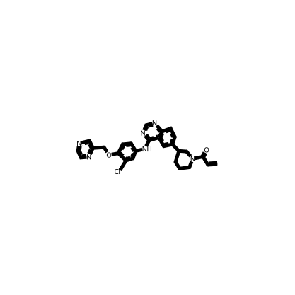 C=CC(=O)N1CCCC(c2ccc3ncnc(Nc4ccc(OCc5cnccn5)c(Cl)c4)c3c2)C1